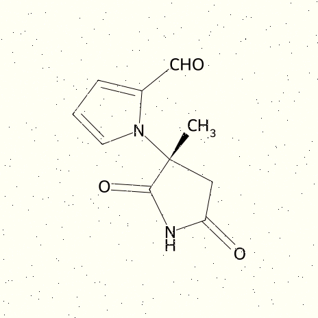 C[C@@]1(n2cccc2C=O)CC(=O)NC1=O